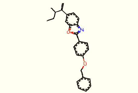 C=C(c1ccc2nc(-c3ccc(OCc4ccccc4)cc3)oc2c1)C(C)CC